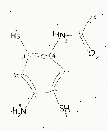 CC(=O)Nc1cc(S)c(N)cc1S